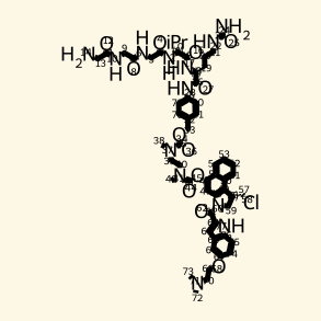 CC(C)[C@H](NC(=O)CNC(=O)CNC(=O)CN)C(=O)N[C@@H](CCCNC(N)=O)C(=O)Nc1ccc(COC(=O)N(C)CCN(C)C(=O)Oc2cc3c(c4ccccc24)[C@H](CCl)CN3C(=O)c2cc3cc(OCCN(C)C)ccc3[nH]2)cc1